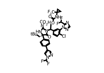 CC(C)(C)C[C@]1(c2ccc(-c3cnn(C(F)F)c3)cc2)NC(=NC(=O)O)N(C(COC(=O)NC2(C(F)(F)F)CC2)c2ccc(Cl)c(-n3ncnc3C(F)F)c2)C1=O